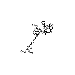 CC(=O)OCC(COC(C)=O)OC(=O)CCCSSCCCC(=O)OC(C(=O)O[C@H]1CC2[C@@H](OC(=O)c3ccccc3)C3[C@@](C)(CC[C@H]4OC[C@@]34OC(C)=O)C(=O)CC(=C1C)C2(C)C)[C@@H](NC(=O)OC(C)(C)C)c1ccccc1